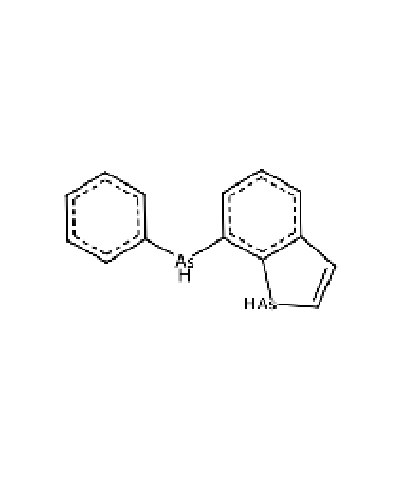 C1=Cc2cccc([AsH]c3ccccc3)c2[AsH]1